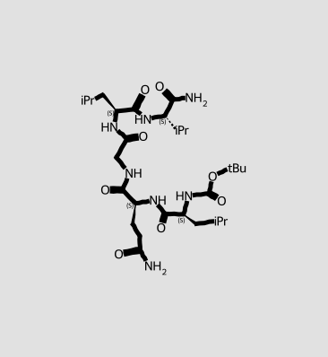 CC(C)C[C@H](NC(=O)CNC(=O)[C@H](CCC(N)=O)NC(=O)[C@H](CC(C)C)NC(=O)OC(C)(C)C)C(=O)N[C@H](C(N)=O)C(C)C